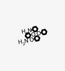 Nc1ccccc1Oc1cccc(Oc2ccccc2)c1Oc1ccccc1N